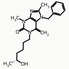 C=C1c2c(nc(C)n2Cc2ccccc2)N(C)C(=O)N1CCCC[C@@H](C)O